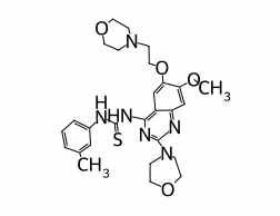 COc1cc2nc(N3CCOCC3)nc(NC(=S)Nc3cccc(C)c3)c2cc1OCCN1CCOCC1